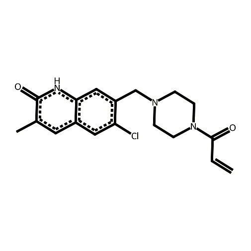 C=CC(=O)N1CCN(Cc2cc3[nH]c(=O)c(C)cc3cc2Cl)CC1